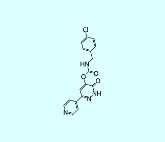 O=C(NCc1ccc(Cl)cc1)Oc1cc(-c2ccncc2)n[nH]c1=O